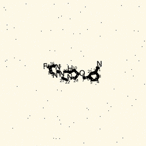 N#Cc1cccc(CO[C@H]2C[C@H]3CN(c4ncc(F)cn4)CCN3C2)c1